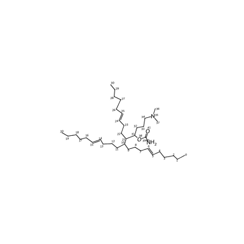 CCCCCC=CCCCC(CCCC=CCCCCC)C(CCC=CCCCCC)C(CCCN(C)C)OC(N)=O